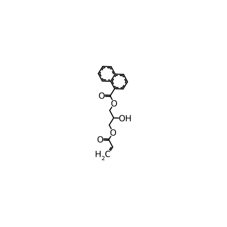 C=CC(=O)OCC(O)COC(=O)c1cccc2ccccc12